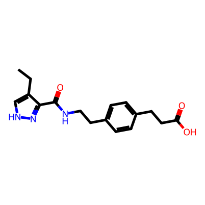 CCc1c[nH]nc1C(=O)NCCc1ccc(CCC(=O)O)cc1